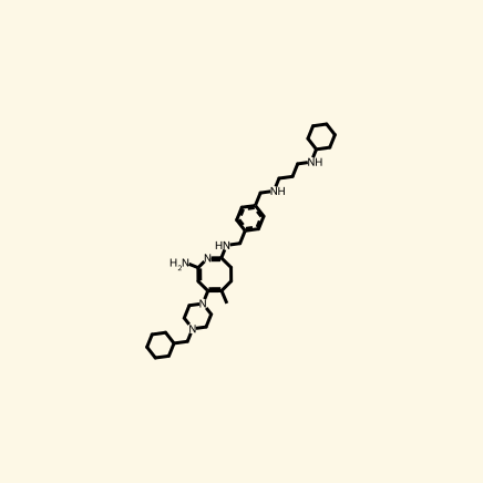 C/C1=C(N2CCN(CC3CCCCC3)CC2)/C=C(N)\N=C(\NCc2ccc(CNCCCNC3CCCCC3)cc2)CC1